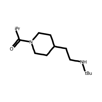 CC(C)C(=O)N1CCC(CCNC(C)(C)C)CC1